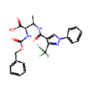 CC(NC(=O)c1cn(-c2ccccc2)nc1C(F)(F)F)C(NC(=O)OCc1ccccc1)C(=O)O